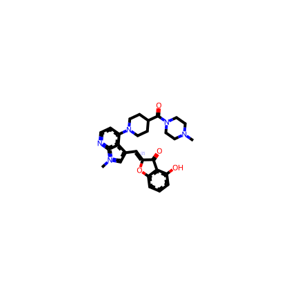 CN1CCN(C(=O)C2CCN(c3ccnc4c3c(/C=C3\Oc5cccc(O)c5C3=O)cn4C)CC2)CC1